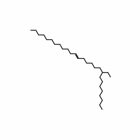 [CH2]CCCCCCCCCCC=CCCCCCC(CC)CCCCCCC[CH2]